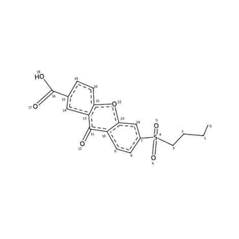 CCCCS(=O)(=O)c1ccc2c(=O)c3cc(C(=O)O)ccc3oc2c1